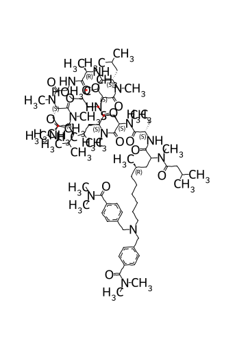 CC[C@H](NC(=O)C(C[C@H](C)CCCCCCN(Cc1ccc(C(=O)N(C)C)cc1)Cc1ccc(C(=O)N(C)C)cc1)N(C)C(=O)CC(C)C)C(=O)N(C)[C@H](CSCCCCO)C(=O)N(C)[C@@H](CC(C)C)C(=O)N[C@H](C(=O)N(C)[C@@H](CC(C)C)C(=O)N[C@H](C)C(=O)NCC(=O)N(C)[C@@H](CC(C)C)C(=O)N(C)[C@@H](CC(C)C)C(=O)NC)C(C)C